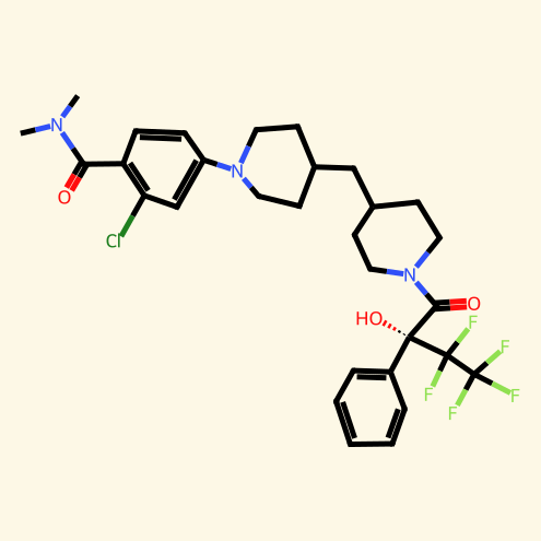 CN(C)C(=O)c1ccc(N2CCC(CC3CCN(C(=O)[C@](O)(c4ccccc4)C(F)(F)C(F)(F)F)CC3)CC2)cc1Cl